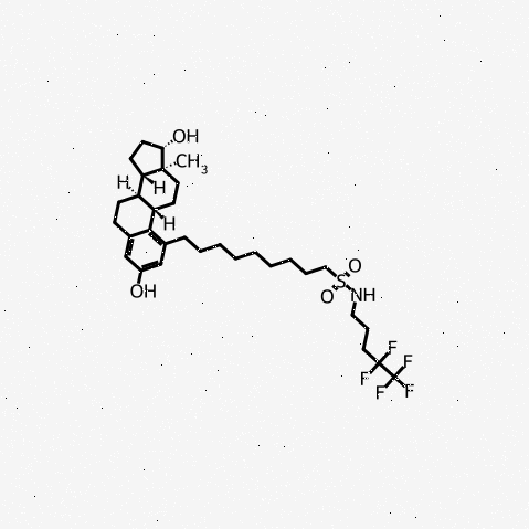 C[C@]12CC[C@@H]3c4c(CCCCCCCCCS(=O)(=O)NCCCC(F)(F)C(F)(F)F)cc(O)cc4CC[C@H]3[C@@H]1CC[C@@H]2O